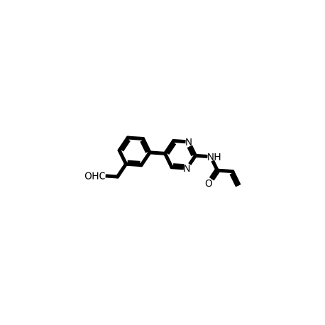 C=CC(=O)Nc1ncc(-c2cccc(CC=O)c2)cn1